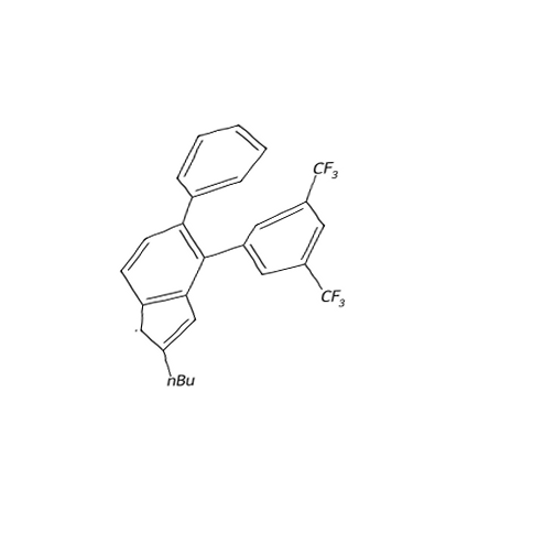 CCCCC1=Cc2c(ccc(-c3ccccc3)c2-c2cc(C(F)(F)F)cc(C(F)(F)F)c2)[CH]1